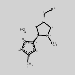 Cc1cc([C@H]2C[C@H](CF)CN2C)on1.Cl